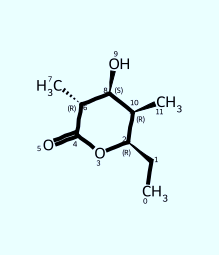 CC[C@H]1OC(=O)[C@H](C)[C@@H](O)[C@H]1C